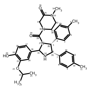 Cc1ccc([C@@H]2[C@H](c3ccc(C)cc3)NC(c3ccc(O)c(OC(C)C)c3)N2C(=O)N2CCN(C)C(=O)C2)cc1